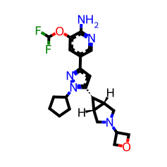 Nc1ncc(-c2cc([C@@H]3[C@@H]4CN(C5COC5)C[C@@H]43)n(C3CCCC3)n2)cc1OC(F)F